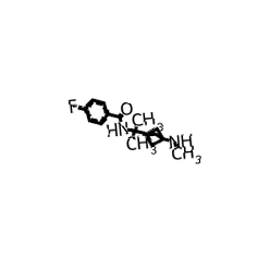 CNC12CC(C(C)(C)NC(=O)c3ccc(F)cc3)(C1)C2